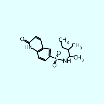 CCC(C)C(C)NS(=O)(=O)c1ccc2[nH]c(=O)ccc2c1